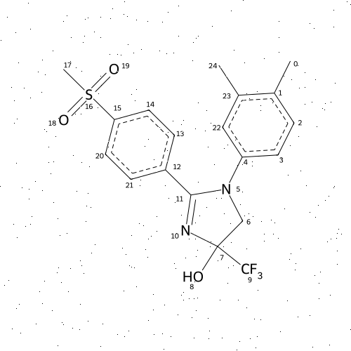 Cc1ccc(N2CC(O)(C(F)(F)F)N=C2c2ccc(S(C)(=O)=O)cc2)cc1C